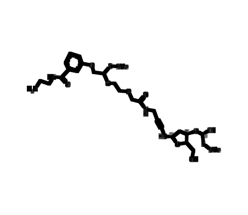 CSSC(COc1cccc(C(=O)NCCN)c1)OCCOCC(=O)NCC#CB[C@H]1C[C@@H](O[C@@H](C#N)SSC)C(CO)O1